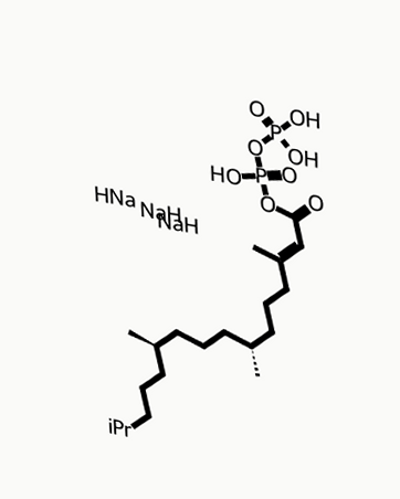 C/C(=C\C(=O)OP(=O)(O)OP(=O)(O)O)CCC[C@H](C)CCC[C@H](C)CCCC(C)C.[NaH].[NaH].[NaH]